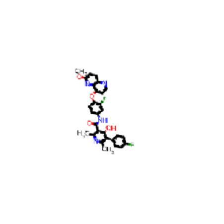 COc1ccc2nccc(Oc3ccc(NC(=O)c4c(C)nc(C)c(-c5ccc(F)cc5)c4O)cc3F)c2n1